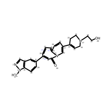 Cn1ncc2cc(C3=C\C(=O)N4C=C(C5=CCN(CCO)CC5)C=C\C4=C/C=C/3)ccc21